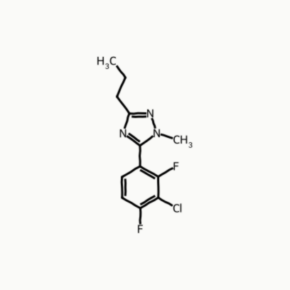 CCCc1nc(-c2ccc(F)c(Cl)c2F)n(C)n1